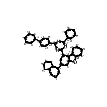 C1=Cc2c(cccc2-c2cc(-c3nc(-c4ccccc4)nc(-c4ccc(-c5ccccc5)cc4)n3)c3c(c2)oc2ccccc23)CC1